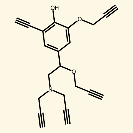 C#CCOc1cc(C(CN(CC#C)CC#C)OCC#C)cc(C#C)c1O